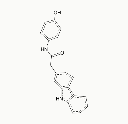 O=C(Cc1ccc2c(c1)[nH]c1ccccc12)Nc1ccc(O)cc1